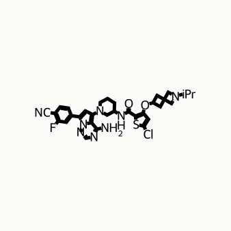 CC(C)N1CC2(CC(Oc3cc(Cl)sc3C(=O)NC3CCCN(c4cc(-c5ccc(C#N)c(F)c5)n5ncnc(N)c45)C3)C2)C1